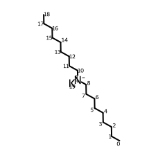 CCCCCCCCC[N-]CCCCCCCCC.[K+]